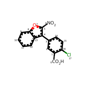 O=C(O)c1cc(-c2c([N+](=O)[O-])oc3ccccc23)ccc1Cl